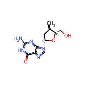 C=C1C[C@@H](n2cnc3c(=O)[nH]c(N)nc32)O[C@H]1CO